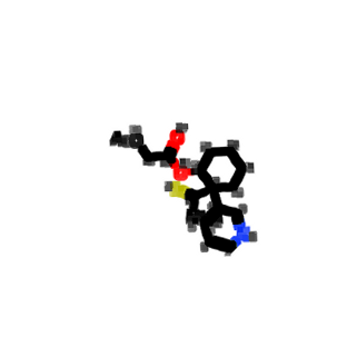 CNC(=S)[C@]1(c2cccnc2)CCCC[C@H]1OC(=O)COC(C)=O